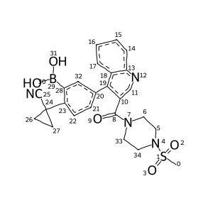 CS(=O)(=O)N1CCN(C(=O)c2cnc3ccccc3c2-c2ccc(C3(C#N)CC3)c(B(O)O)c2)CC1